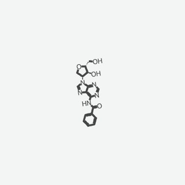 O=C(Nc1ncnc2c1ncn2[C@@H]1CO[C@H](CO)[C@H]1O)c1ccccc1